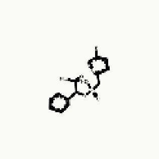 O=C(O)C(NP(=O)(O)Cc1ccc(F)cc1)c1ccccc1